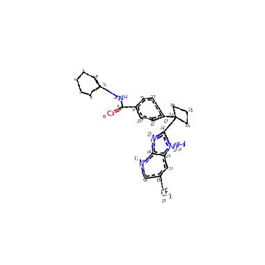 O=C(NC1CCCCC1)c1ccc(C2(c3nc4ncc(C(F)(F)F)cc4[nH]3)CCC2)cc1